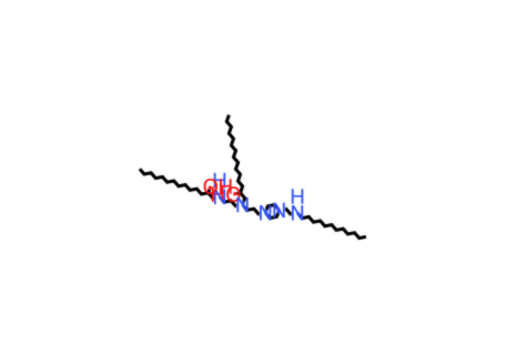 CCCCCCCCCCCCCC(O)CN(CCCNCC(O)CCCCCCCCCCCC)CCCN1CCN(CCNCCCCCCCCCCCC)CC1